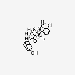 Cc1c(Cl)cccc1S(=O)(=O)N(C)C(C)(C)C(=O)NC1C2CC3CC1CC(O)(C3)C2